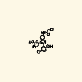 CC(C)CC(C(=O)O)n1c(-c2cc(Cl)ccc2O)nc2cc(NC(=O)CCl)ccc21